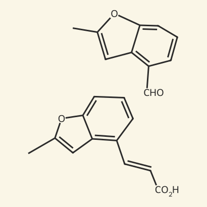 Cc1cc2c(C=CC(=O)O)cccc2o1.Cc1cc2c(C=O)cccc2o1